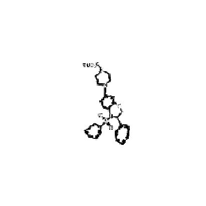 CCOC(=O)N1CCN(c2ccc3c(c2)OCC(c2ccccc2)N3S(=O)(=O)c2ccccc2)CC1